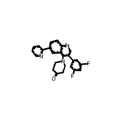 O=C1CCN(c2c(-c3cc(F)cc(F)c3)cnc3ccc(-c4ccccn4)cc23)CC1